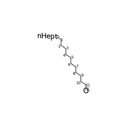 CCCCCCCCCCCCCCCCCC[O]